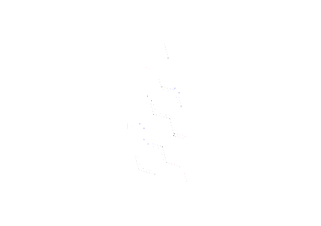 CC[S+]([O-])c1ncc(C(=O)c2ncccc2OC)c(N)n1